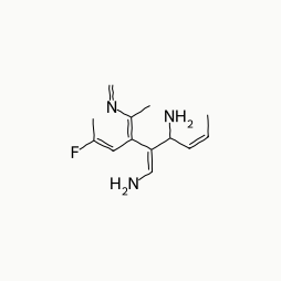 C=N/C(C)=C(\C=C(/C)F)C(=C\N)/C(N)/C=C\C